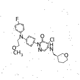 COCCN(c1ccc(F)cc1)c1ccc(-n2ncc(NC[C@@H]3CCCOC3)c(Cl)c2=O)cc1